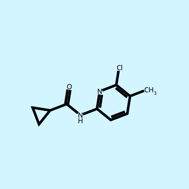 Cc1ccc(NC(=O)C2CC2)nc1Cl